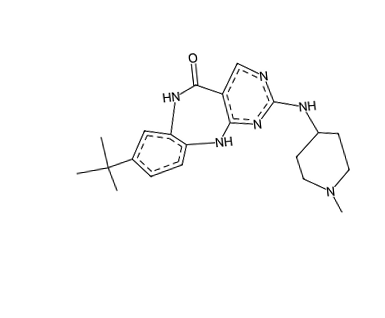 CN1CCC(Nc2ncc3c(n2)Nc2ccc(C(C)(C)C)cc2NC3=O)CC1